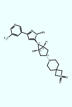 CC(C)n1nc(-c2cncc(C(F)(F)F)c2)cc1[C@H]1[C@@H]2C[C@H](N3CCC4(CC3)CS(=O)(=O)C4)C[C@@H]21